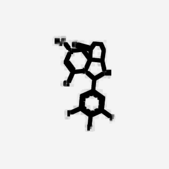 CN1C=C(Cl)N2C(c3cc(F)c(F)c(F)c3)NC3CCCC(=O)C32C1